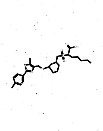 CCCCCC(C(=O)O)S(=O)(=O)CC1CCCC(OCc2nc(-c3ccc(C)cc3)oc2C)C1